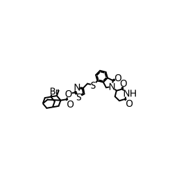 CC1C2(Br)CC3CC(C2)CC1(C(=O)Oc1nc(CSc2cccc4c2CN(C2CCC(=O)NC2=O)C4=O)cs1)C3